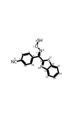 N#Cc1ccc(/C(=N\OS)c2nc3ccccc3s2)cc1